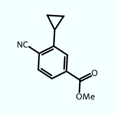 COC(=O)c1ccc(C#N)c(C2CC2)c1